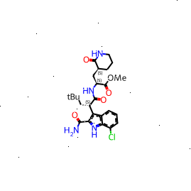 COC(=O)[C@H](C[C@@H]1CCCNC1=O)NC(=O)[C@@H](CC(C)(C)C)c1c(C(N)=O)[nH]c2c(Cl)cccc12